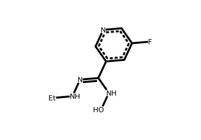 CCNN=C(NO)c1cncc(F)c1